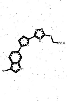 N#Cc1c[nH]c2cc(-c3ccc(-c4nnc(SCC(=O)O)[nH]4)o3)ccc12